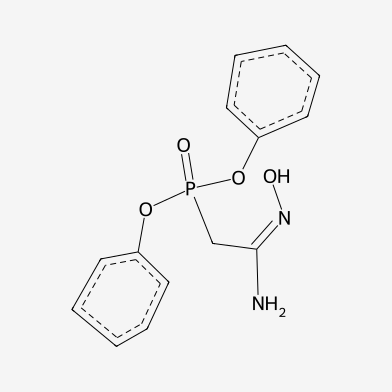 NC(CP(=O)(Oc1ccccc1)Oc1ccccc1)=NO